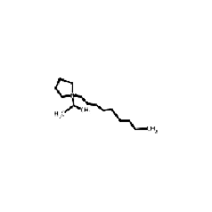 CCCCCCCCC[N+]1(C(C)C)CCCC1